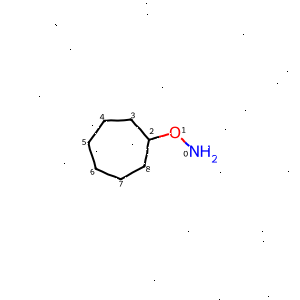 NOC1CCCCCC1